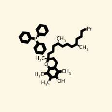 Cc1c(C)c2c(c(C)c1O)CC[C@@](C)(CCC[C@H](C)CCC[C@H](C)CCCC(C)C)O2.c1ccc(P(c2ccccc2)c2ccccc2)cc1